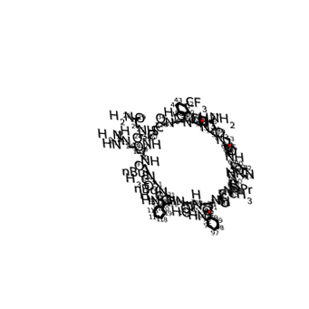 CCCC[C@H]1C(=O)N(C)[C@@H](CCCC)C(=O)N[C@@H](CCCNC(=N)N)C(=O)N[C@H](C(=O)NCC(N)=O)CSCC(=O)N[C@@H](Cc2ccc(C(F)(F)F)cc2)C(=O)N(C)[C@@H](C)C(=O)N[C@@H](CC(N)=O)C(=O)N2CCC[C@H]2C(=O)N[C@@H](Cc2cnc[nH]2)C(=O)N[C@@H](CC(C)C)C(=O)N(C)CC(=O)N[C@@H](Cc2c[nH]c3ccccc23)C(=O)N[C@@H](CO)C(=O)N[C@@H](Cc2c[nH]c3ccccc23)C(=O)N1C